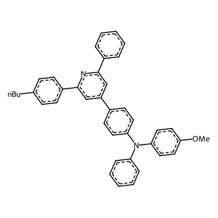 CCCCc1ccc(-c2cc(-c3ccc(N(c4ccccc4)c4ccc(OC)cc4)cc3)cc(-c3ccccc3)n2)cc1